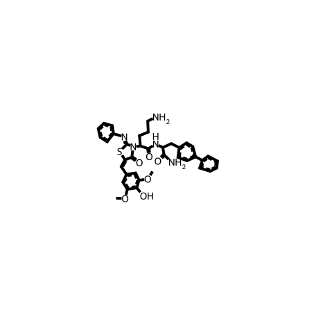 COc1cc(C=C2SC(=Nc3ccccc3)N(C(CCCN)C(=O)NC(Cc3ccc(-c4ccccc4)cc3)C(N)=O)C2=O)cc(OC)c1O